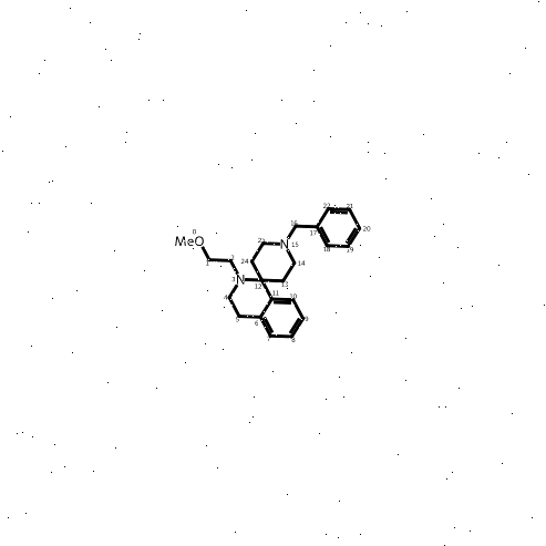 COCCN1CCc2ccccc2C12CCN(Cc1ccccc1)CC2